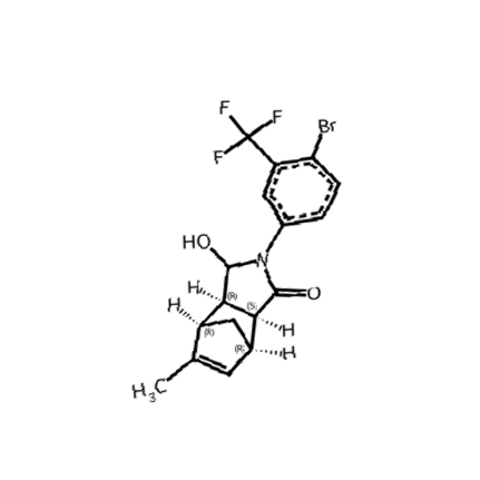 CC1=C[C@H]2C[C@@H]1[C@H]1C(O)N(c3ccc(Br)c(C(F)(F)F)c3)C(=O)[C@H]12